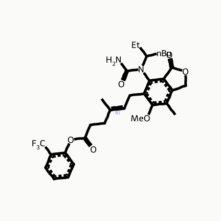 CCCCC(CC)N(C(N)=O)c1c(C/C=C(\C)CCC(=O)Oc2ccccc2C(F)(F)F)c(OC)c(C)c2c1C(=O)OC2